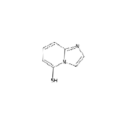 Sc1cccc2nccn12